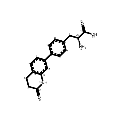 N[C@@H](Cc1ccc(-c2ccc3c(c2)NC(=O)CC3)cc1)C(=O)O